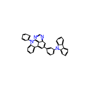 c1ccc(N2c3ccccc3-c3cc(-c4cccc(-n5c6ccccc6c6ccccc65)c4)cc4ncnc2c34)cc1